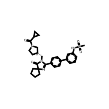 CS(=O)(=O)Nc1cccc(-c2ccc(C3=NC4(CCCC4)C(=O)N3C[C@@H]3CCN(C(=O)C4CC4)C3)cc2)c1